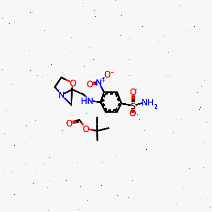 CC(C)(C)OC=O.NS(=O)(=O)c1ccc(NCC23CN2CCO3)c([N+](=O)[O-])c1